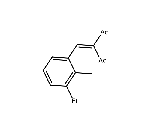 CCc1cccc(C=C(C(C)=O)C(C)=O)c1C